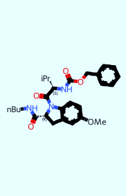 CCCCNC(=O)[C@H]1Cc2cc(OC)ccc2N1C(=O)[C@@H](NC(=O)OCc1ccccc1)C(C)C